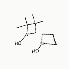 CC1(C)CN(O)C1(C)C.ON1CCC1